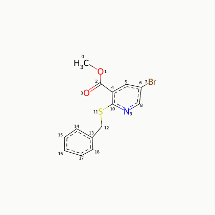 COC(=O)c1cc(Br)cnc1SCc1ccccc1